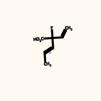 C=CC(F)(/C=C/C)C(=O)O